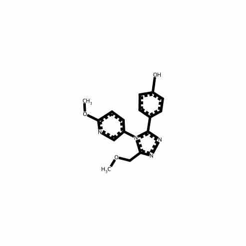 COCc1nnc(-c2ccc(O)cc2)n1-c1ccc(OC)nc1